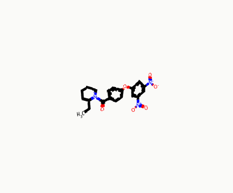 CCC1CCCCN1C(=O)c1ccc(Oc2cc([N+](=O)[O-])cc([N+](=O)[O-])c2)cc1